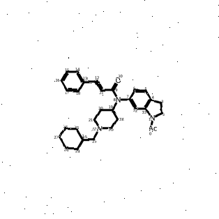 CC(=O)N1CCc2ccc(N(C(=O)C=Cc3ccccc3)C3CCN(CC4CCCCC4)CC3)cc21